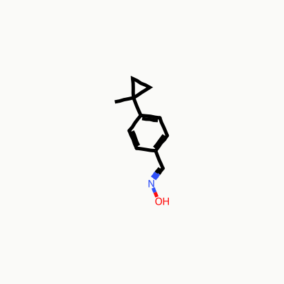 CC1(c2ccc(C=NO)cc2)CC1